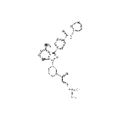 CN(C)CC=CC(=O)N1CCC[C@@H](n2nc(-c3ccc(C(=O)Nc4ccccn4)cc3)c3c(N)ncnc32)C1